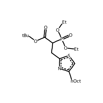 CCCCCCCCc1csc(CC(C(=O)OC(C)(C)C)P(=O)(OCC)OCC)n1